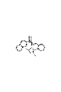 CC1=CC(C)=C(c2ccccc2/C=N/Nc2ccc3ccccc3c2)C1